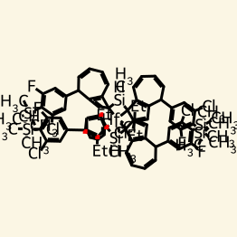 CCC1=CC2=C(C=CC=CC2c2cc(F)c([Si](C)(C)C)c(Cl)c2)[C]12[SiH](C)[C]1(C(CC)=CC3=C1C=CC=CC3c1cc(F)c([Si](C)(C)C)c(Cl)c1)[Hf]21([Cl])([Cl])[C]2(C(CC)=CC3=C2C=CC=CC3c2cc(F)c([Si](C)(C)C)c(Cl)c2)[SiH](C)[C]12C(CC)=CC1=C2C=CC=CC1c1cc(F)c([Si](C)(C)C)c(Cl)c1